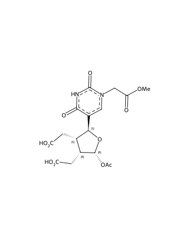 COC(=O)Cn1cc([C@H]2O[C@H](OC(C)=O)[C@H](CC(=O)O)[C@@H]2CC(=O)O)c(=O)[nH]c1=O